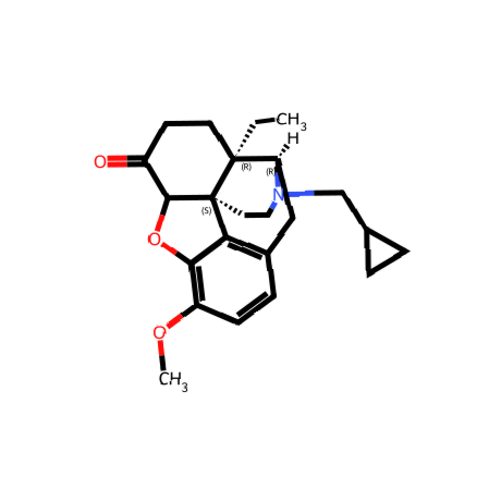 CC[C@@]12CCC(=O)C3Oc4c(OC)ccc5c4[C@@]31CCN(CC1CC1)[C@@H]2C5